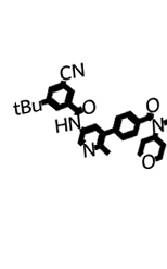 Cc1ncc(NC(=O)c2cc(C#N)cc(C(C)(C)C)c2)cc1-c1ccc(C(=O)N(C)C2CCOCC2)cc1